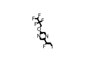 F/C(=C\I)c1cnc(OCC(F)(F)C(F)F)cn1